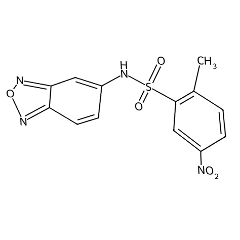 Cc1ccc([N+](=O)[O-])cc1S(=O)(=O)Nc1ccc2nonc2c1